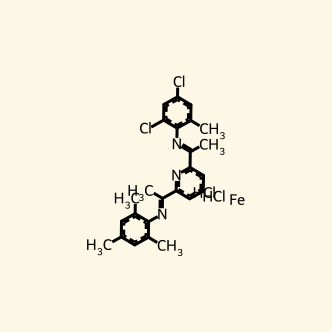 CC(=Nc1c(C)cc(C)cc1C)c1cccc(C(C)=Nc2c(C)cc(Cl)cc2Cl)n1.Cl.Cl.[Fe]